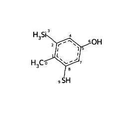 Cc1c([SiH3])cc(O)cc1S